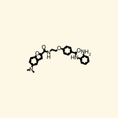 CN(C)c1ccc2oc(C(=O)NCCOc3ccc(C(=O)Nc4ccccc4N)cc3)cc2c1